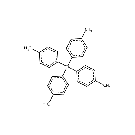 Cc1cc[c]([Ti]([c]2ccc(C)cc2)([c]2ccc(C)cc2)[c]2ccc(C)cc2)cc1